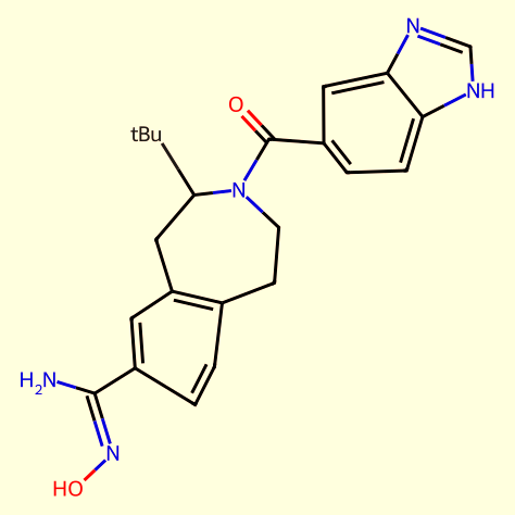 CC(C)(C)C1Cc2cc(/C(N)=N/O)ccc2CCN1C(=O)c1ccc2[nH]cnc2c1